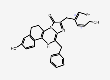 CC/C=C(\C=C/CO)Cc1nc2c(Cc3ccccc3)[nH]c3c(n-2c1=O)CCc1cc(O)ccc1-3